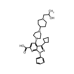 CC(O)CN1CCC(N2CCN(c3cc(C(=O)O)nc4c3c(C3CCC3)nn4-c3ccccc3)CC2)CC1